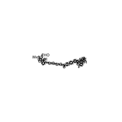 CNC(=O)C(CCC=O)N1C(=O)c2cccc(NCCOCCOCCOCCOCCC(=O)N3CCN(c4ccc(-c5ccc6c(c5)C(=O)N(C(C(=O)Nc5nccs5)c5cc(F)ccc5O)C6)cc4)CC3)c2C1=O